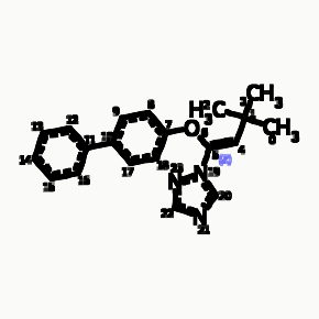 CC(C)(C)/C=C(\Oc1ccc(-c2ccccc2)cc1)n1cncn1